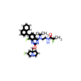 C=C(F)C(=O)NCCN(c1nc(OC[C@@]23CCCN2C[C@H](F)C3)nc2c(F)c(-c3cccc4c3CCCC4)ccc12)C(C)C